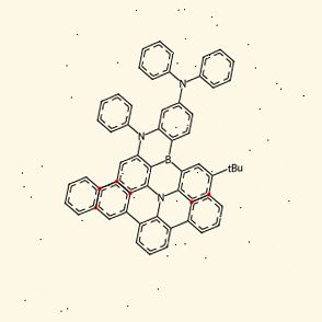 CC(C)(C)c1ccc2c(c1)B1c3ccc(N(c4ccccc4)c4ccccc4)cc3N(c3ccccc3)c3cc(-c4ccccc4)cc(c31)N2c1c(-c2ccccc2)cccc1-c1ccccc1